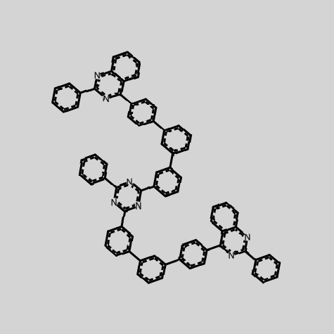 c1ccc(-c2nc(-c3cccc(-c4cccc(-c5ccc(-c6nc(-c7ccccc7)nc7ccccc67)cc5)c4)c3)nc(-c3cccc(-c4cccc(-c5ccc(-c6nc(-c7ccccc7)nc7ccccc67)cc5)c4)c3)n2)cc1